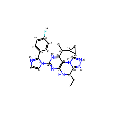 CC[C@H]1Nc2nc(-n3ccnc3-c3ccc(F)cc3)nc(C(C)C3CC3)c2-n2cnnc21